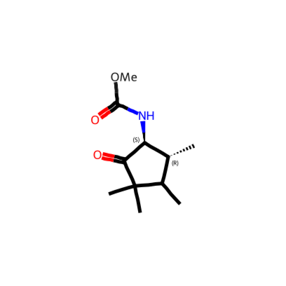 COC(=O)N[C@@H]1C(=O)C(C)(C)C(C)[C@H]1C